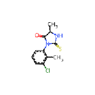 Cc1c(Cl)cccc1N1C(=O)C(C)NC1=S